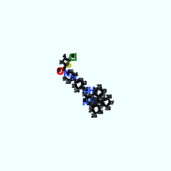 O=C(c1ccc(Cl)s1)N1CCN(c2ccc(NCc3cn(C(c4ccccc4)(c4ccccc4)c4ccccc4)cn3)cc2)CC1